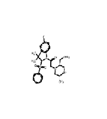 COC[C@H]1CN[C@H](C)CN1CC(=O)N1c2ccc(F)cc2C(C)(C)C1S(=O)(=O)c1ccccc1